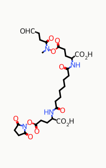 CN(OC(=O)CCC(NC(=O)CCCCCCC(=O)NC(CCC(=O)ON1C(=O)CCC1=O)C(=O)O)C(=O)O)C(=O)CCC=O